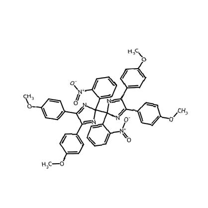 COc1ccc(C2=NC(c3ccccc3[N+](=O)[O-])(C3(c4ccccc4[N+](=O)[O-])N=C(c4ccc(OC)cc4)C(c4ccc(OC)cc4)=N3)N=C2c2ccc(OC)cc2)cc1